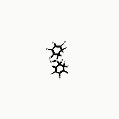 FC1=C(F)C(F)(B(Br)C2(F)C(F)=C(F)C(Br)=C(F)C2(F)F)C(F)(F)C(F)=C1Br